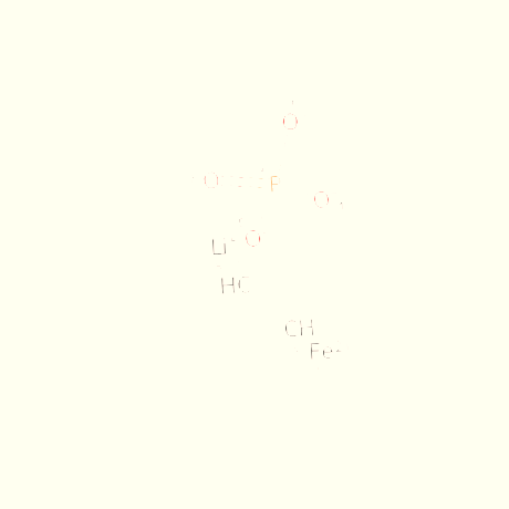 C#C.O=P([O-])([O-])[O-].[Fe+2].[Li+]